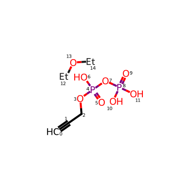 C#CCOP(=O)(O)OP(=O)(O)O.CCOCC